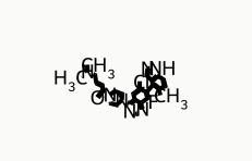 Cc1ccc2[nH]ncc2c1-c1c(Cl)cc2c(N3CCN(C(=O)C=CCN(C)C)CC3)ncnc2c1F